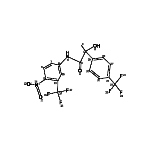 CC(O)(C(=O)Nc1ccc([N+](=O)[O-])c(C(F)(F)F)c1)c1ccc(C(F)(F)F)cc1